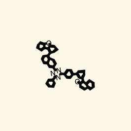 c1ccc(-c2nc(-c3ccc(-c4cccc5c4oc4ccc6ccccc6c45)cc3)nc(-c3ccc4c(-c5cccc6oc7ccccc7c56)cccc4c3)n2)cc1